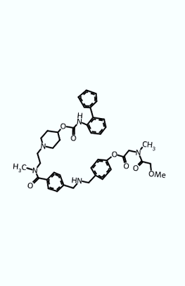 COCC(=O)N(C)CC(=O)Oc1ccc(CNCc2ccc(C(=O)N(C)CCN3CCC(OC(=O)Nc4ccccc4-c4ccccc4)CC3)cc2)cc1